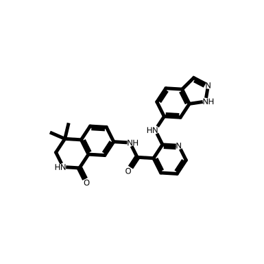 CC1(C)CNC(=O)c2cc(NC(=O)c3cccnc3Nc3ccc4cn[nH]c4c3)ccc21